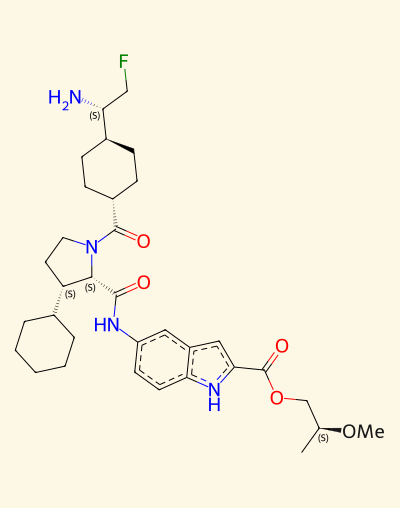 CO[C@@H](C)COC(=O)c1cc2cc(NC(=O)[C@@H]3[C@H](C4CCCCC4)CCN3C(=O)[C@H]3CC[C@H]([C@H](N)CF)CC3)ccc2[nH]1